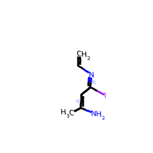 C=C/N=C(I)\C=C(\C)N